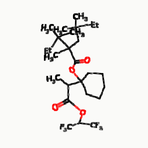 CCC(C)(C)CC(C)(C(=O)OC1(C(C)C(=O)OC(C(F)(F)F)C(F)(F)F)CCCCC1)C(C)(C)CC